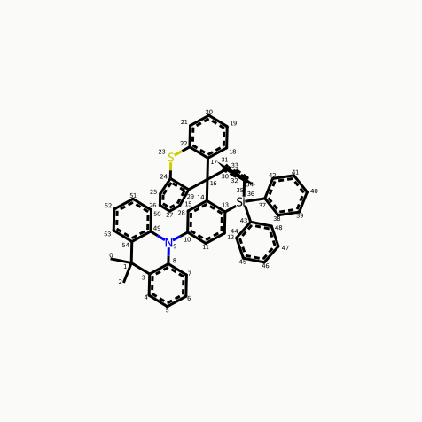 CC1(C)c2ccccc2N(c2ccc3c(c2)C2(c4ccccc4Sc4ccccc42)c2ccccc2[Si]3(c2ccccc2)c2ccccc2)c2ccccc21